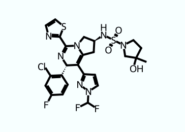 CC1(O)CCN(S(=O)(=O)N[C@H]2CC3=C(c4ccn(C(F)F)n4)[C@H](c4ccc(F)cc4Cl)N=C(c4nccs4)N3C2)C1